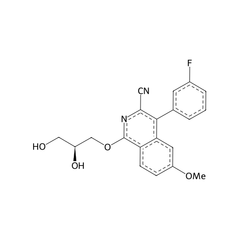 COc1ccc2c(OC[C@@H](O)CO)nc(C#N)c(-c3cccc(F)c3)c2c1